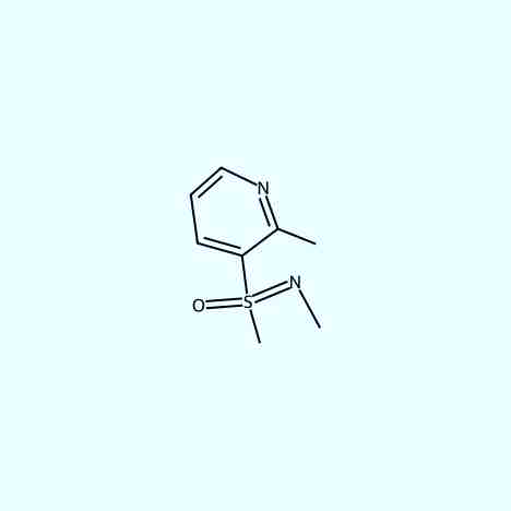 CN=S(C)(=O)c1cccnc1C